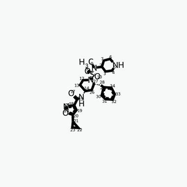 CN(C1CCNCC1)S(=O)(=O)N1CC[C@@H](NC(=O)c2cc(C3CC3)on2)C[C@H]1Cc1ccccc1